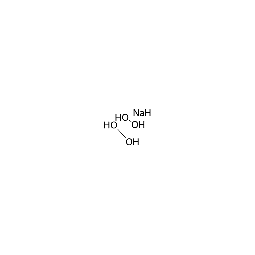 OO.OO.[NaH]